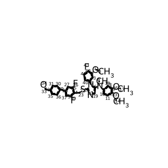 COc1cc(-n2c(N(C)c3ccc(OC)c(OC)c3)cnc2SCc2c(F)cc(-c3ccc(C=O)cc3)cc2F)ccc1F